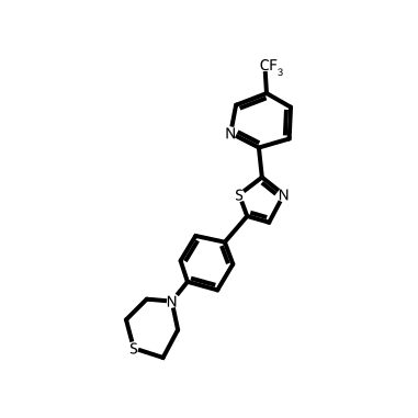 FC(F)(F)c1ccc(-c2ncc(-c3ccc(N4CCSCC4)cc3)s2)nc1